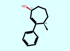 C[C@@H]1CCC[C@H](O)C=C1c1ccccc1